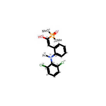 COP(=O)(OC)C(O)=Cc1ccccc1N(C(C)=O)c1c(Cl)cccc1Cl